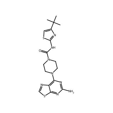 CC(C)(C)c1csc(NC(=O)N2CCN(c3nc(N)nc4scnc34)CC2)n1